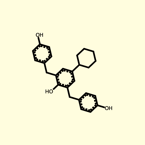 Oc1ccc(Cc2cc(C3CCCCC3)cc(Cc3ccc(O)cc3)c2O)cc1